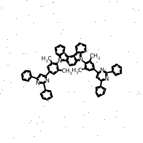 Cc1cc(-c2cc(-c3ccccc3)nc(-c3ccccc3)n2)cc(C)c1-n1c2ccccc2c2c3c4ccccc4n(-c4c(C)cc(-c5cc(-c6ccccc6)nc(-c6ccccc6)n5)cc4C)c3ccc21